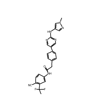 Cn1cc(Nc2ncc(-c3ccc(CC(=O)Nc4ccc(C#N)c(C(C)(F)F)c4)cc3)cn2)cn1